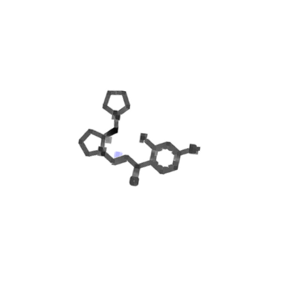 O=C(/C=C/N1CCC[C@H]1CN1CCCC1)c1ccc(Br)cc1F